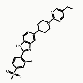 CCc1cnc(N2CCC(c3ccc4[nH]c(-c5ccc(S(C)(=O)=O)cc5F)nc4c3)CC2)nc1